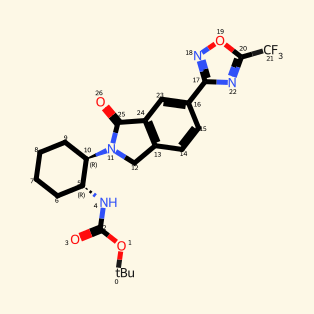 CC(C)(C)OC(=O)N[C@@H]1CCCC[C@H]1N1Cc2ccc(-c3noc(C(F)(F)F)n3)cc2C1=O